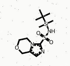 CC(C)(C)[Si](C)(C)NS(=O)(=O)c1ncc2n1CCOC2